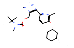 CCCC(C)(C)N(C)C(=O)OCc1c(-c2ccc(O[C@H]3CCC[C@H](C(=O)O)C3)c(C)n2)nnn1C